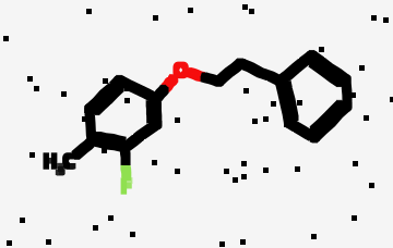 Cc1ccc(OCCc2ccccc2)cc1F